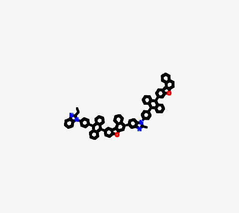 CCc1nc2ccccc2n1-c1ccc(-c2c3ccccc3c(-c3ccc4oc5cc(-c6ccc7c(c6)nc(C)n7-c6ccc(-c7c8ccccc8c(-c8ccc9c(c8)oc8ccc%10ccccc%10c89)c8ccccc78)cc6)c6ccccc6c5c4c3)c3ccccc23)cc1